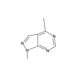 Cc1ncnc2c1cnn2C